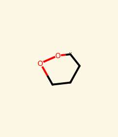 [C]1CCCOO1